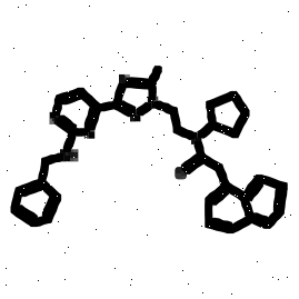 Cc1nc(-c2ccnc(NCc3ccccc3)n2)nn1CCN(C(=O)Cc1cccc2ccccc12)C1CCCC1